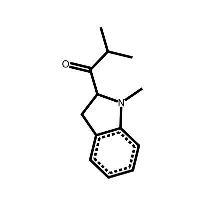 CC(C)C(=O)C1Cc2ccccc2N1C